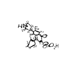 O=C(O)Oc1cn(-c2ccccc2)c2c(F)c(N3CCNCC3)c(F)cc2c1=O